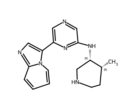 C[C@@H]1CCNC[C@@H]1Nc1cncc(-c2cnc3ccccn23)n1